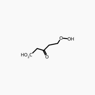 O=C(O)CC(=O)CCOO